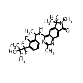 Cc1nc(NC(C)c2cccc(C(F)(F)C(C)(C)O)c2F)c2cc3c(cc2n1)C(=O)N(C)C3(C)C